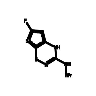 CCCNC1=NSc2sc(F)cc2N1